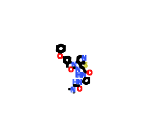 Cc1cc(Oc2ccccc2)ccc1N1C(=O)Nc2c(C(=O)N[C@H]3CCC[C@@H]3NC(=O)CN(C)C)sc3nccc1c23